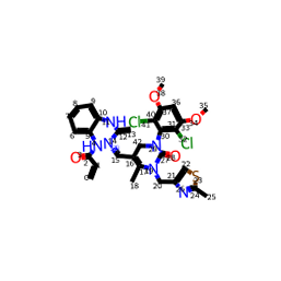 C=CC(=O)Nc1ccccc1NC(=C)/N=C\C1=C(C)N(Cc2csc(C)n2)C(=O)N(c2c(Cl)c(OC)cc(OC)c2Cl)C1